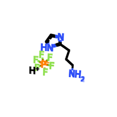 F[P-](F)(F)(F)(F)F.NCCCc1ncc[nH]1.[H+]